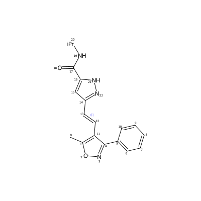 Cc1onc(-c2ccccc2)c1/C=C/c1cc(C(=O)NC(C)C)[nH]n1